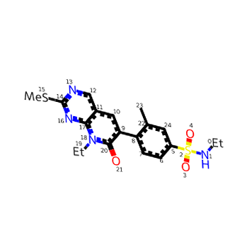 CCNS(=O)(=O)c1ccc(-c2cc3cnc(SC)nc3n(CC)c2=O)c(C)c1